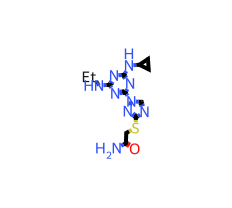 CCNc1nc(NC2CC2)nc(-n2cnc(SCC(N)=O)n2)n1